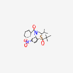 CC(C)CCN(C(=O)C1CCCCC1)c1cc([N+](=O)[O-])ccc1SC(=O)C(C)(C)C